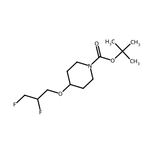 CC(C)(C)OC(=O)N1CCC(OCC(F)CF)CC1